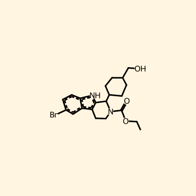 CCOC(=O)N1CCc2c([nH]c3ccc(Br)cc23)C1C1CCC(CO)CC1